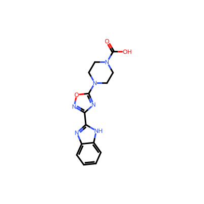 O=C(O)N1CCN(c2nc(-c3nc4ccccc4[nH]3)no2)CC1